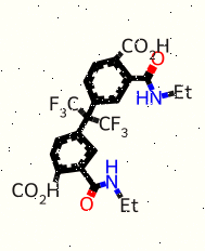 CCNC(=O)c1cc(C(c2ccc(C(=O)O)c(C(=O)NCC)c2)(C(F)(F)F)C(F)(F)F)ccc1C(=O)O